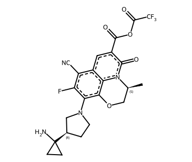 C[C@H]1COc2c(N3CC[C@@H](C4(N)CC4)C3)c(F)c(C#N)c3cc(C(=O)OC(=O)C(F)(F)F)c(=O)n1c23